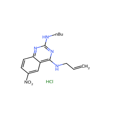 C=CCNc1nc(NCCCC)nc2ccc([N+](=O)[O-])cc12.Cl